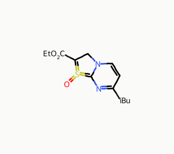 CCOC(=O)C1=S(=O)=C2N=C(C(C)CC)C=CN2C1